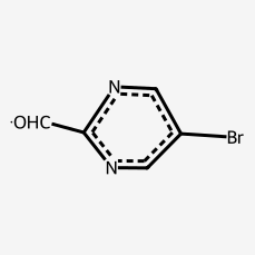 O=[C]c1ncc(Br)cn1